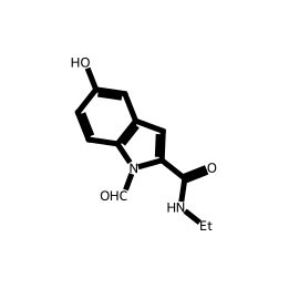 CCNC(=O)c1cc2cc(O)ccc2n1C=O